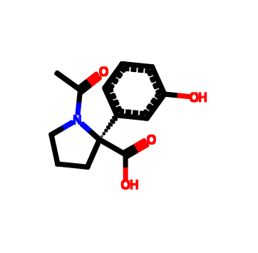 CC(=O)N1CCC[C@@]1(C(=O)O)c1cccc(O)c1